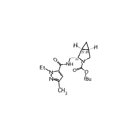 CCn1nc(C)cc1C(=O)NC[C@@H]1[C@H]2C[C@H]2CN1C(=O)OC(C)(C)C